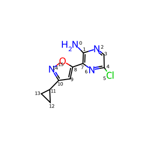 Nc1ncc(Cl)nc1-c1cc(C2CC2)no1